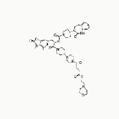 Cc1cc(C[C@@H](OC(=O)N2CCC(N3CCc4ccccc4NC3=O)CC2)C(=O)N2CCC(N3CCN(C(=O)CCC(=O)OCCN4CCOCC4)CC3)CC2)cc2oc(=O)n(C)c12